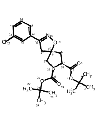 CC(C)(C)OC(=O)[C@@H]1C[C@]2(CC(c3cccc(Cl)c3)=NO2)CN1C(=O)OC(C)(C)C